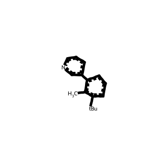 Cc1c(-c2cccnc2)cccc1C(C)(C)C